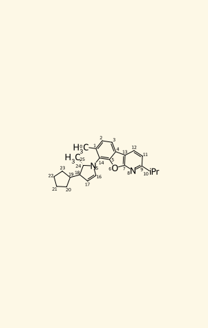 Cc1ccc2c(oc3nc(C(C)C)ccc32)c1N1C=CC(C2CCCC2)[C@@H]1C